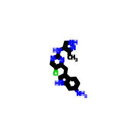 Cc1n[nH]cc1Nc1ncc(Cl)c(Cc2c[nH]c3cc(N)ccc23)n1